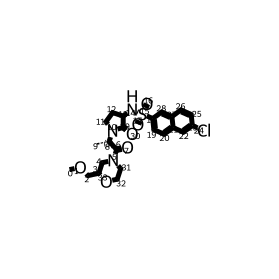 COCC1CN(C(=O)[C@H](C)N2CCC(NS(=O)(=O)c3ccc4cc(Cl)ccc4c3)C2=O)CCO1